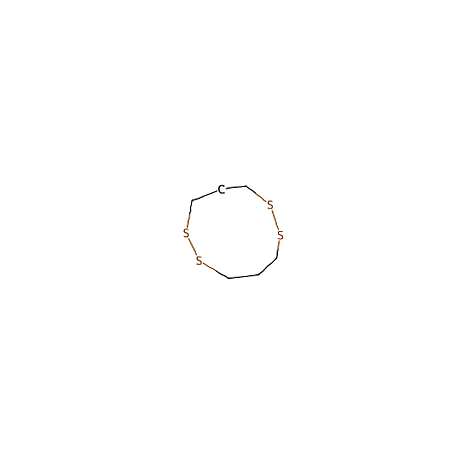 C1CSSCCCSSC1